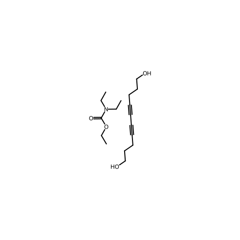 CCOC(=O)N(CC)CC.OCCCC#CC#CCCCO